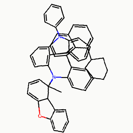 CC1(N(c2ccccc2-c2cccc3cccc(C4CCCCC4)c23)c2cccc3c2c2ccccc2n3-c2ccccc2)C=CC=C2Oc3ccccc3C21